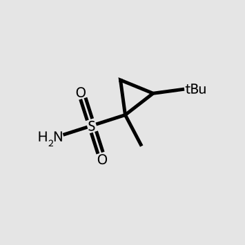 CC(C)(C)C1CC1(C)S(N)(=O)=O